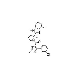 Cc1nc(C(=O)N2CCCC2(C)c2nc3c(C)cccc3n2C)c(-c2cccc(Cl)c2)s1